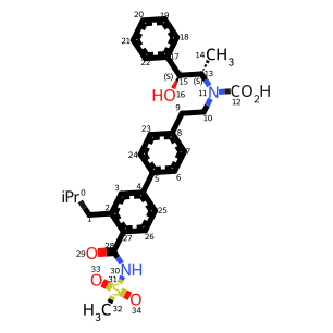 CC(C)Cc1cc(-c2ccc(CCN(C(=O)O)[C@@H](C)[C@@H](O)c3ccccc3)cc2)ccc1C(=O)NS(C)(=O)=O